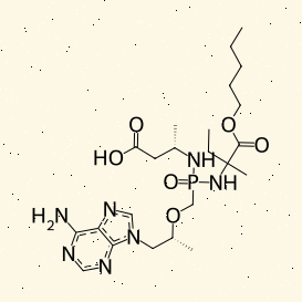 CCCCCOC(=O)C(C)(CC)NP(=O)(CO[C@H](C)Cn1cnc2c(N)ncnc21)N[C@@H](C)CC(=O)O